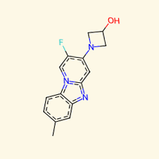 Cc1ccc2c(c1)nc1cc(N3CC(O)C3)c(F)cn12